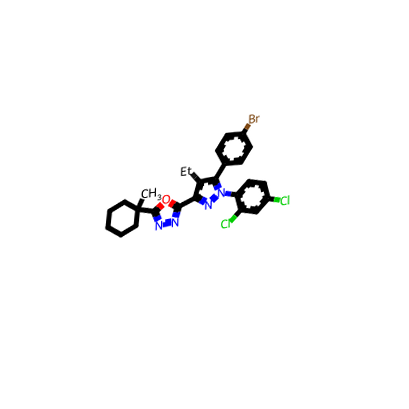 CCc1c(-c2nnc(C3(C)CCCCC3)o2)nn(-c2ccc(Cl)cc2Cl)c1-c1ccc(Br)cc1